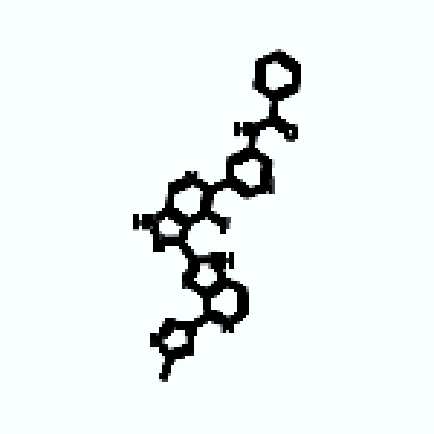 Cc1cn(-c2nccc3[nH]c(-c4n[nH]c5cnc(-c6cncc(NC(=O)c7ccccc7)c6)c(F)c45)nc23)cn1